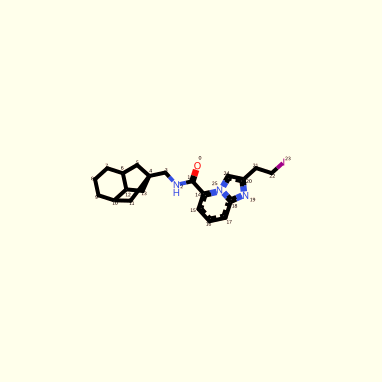 O=C(NCC12CC3CCCC(C1)C3C2)c1cccc2nc(CCI)cn12